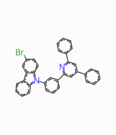 Brc1ccc2c(c1)c1ccccc1n2-c1cccc(-c2cc(-c3ccccc3)cc(-c3ccccc3)n2)c1